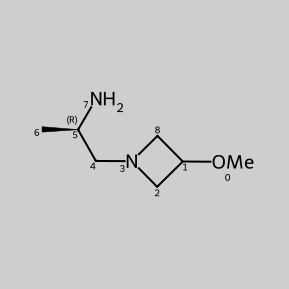 COC1CN(C[C@@H](C)N)C1